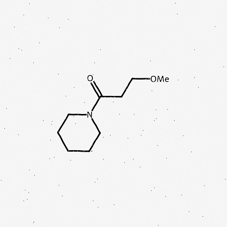 COCCC(=O)N1C[CH]CCC1